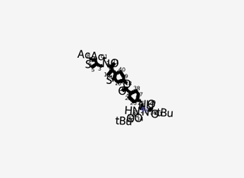 CC(=O)CN(Cc1csc(C(C)=O)c1)C(=O)c1csc2cc(OC(=O)c3ccc(N/C(=N\C(=O)OC(C)(C)C)NC(=O)OC(C)(C)C)cc3)ccc12